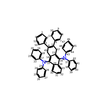 c1ccc(C2=C(c3ccccc3)Cc3c(c(N(c4ccccc4)c4ccccc4)c4ccccc4c3N(c3ccccc3)c3ccccc3)C2)cc1